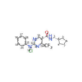 O=C(NCC1CCCC1)c1cnc(N(Cl)c2ccccc2)nc1C(F)(F)F